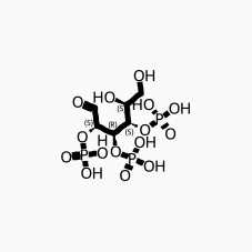 O=C[C@@H](OP(=O)(O)O)[C@H](OP(=O)(O)O)[C@@H](OP(=O)(O)O)[C@@H](O)CO